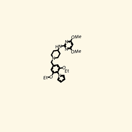 CCOc1cc(CN2CCC(Nc3nc(OC)cc(OC)n3)CC2)cc(OCC)c1-n1cccc1